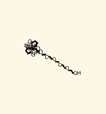 O=C1CCC(=O)[N+]1(O)C(O)(CCOCCOCCOCCOCCOCCCO)[N+]1(O)C(=O)CCC1=O